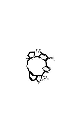 Nc1cc(C(F)(F)F)c2nc1-c1nnc(o1)[C@](O)(C(F)(F)F)c1cc(ccc1F)CCC[C@@H]1CCCN21